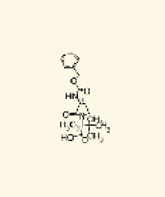 CC(C)(C)[C@@](C)(C(=O)O)N1CC[C@H](NC(=O)OCc2ccccc2)C1=O